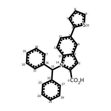 O=C(O)c1cc2cc(-c3cccs3)ccc2n1C(c1ccccc1)c1ccccc1